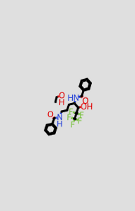 CCO.O=C(NCCCC(NC(=O)c1ccccc1)C(O)C(F)(F)C(F)(F)F)c1ccccc1